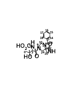 CC(O)C(NC(=O)O)C(=O)N1CCN(Cc2ccccc2)C2(CNC2=O)C1